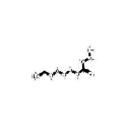 CCOOOOOC(=O)OOO